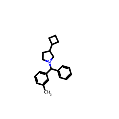 Cc1cccc(C(c2ccccc2)N2CCC(C3CCC3)C2)c1